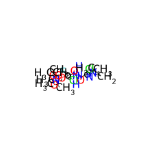 C=CCN(c1ncc(C(=O)NNC(=O)c2cc(F)c(OC[C@H]3[C@@H](C)OC(C)(C)N3C(=O)OC(C)(C)C)cc2Cl)cc1Cl)C(C)C